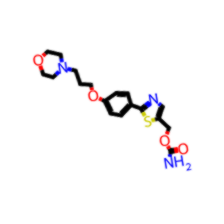 NC(=O)OCc1cnc(-c2ccc(OCCCN3CCOCC3)cc2)s1